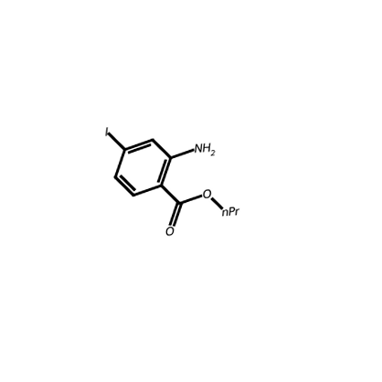 CCCOC(=O)c1ccc(I)cc1N